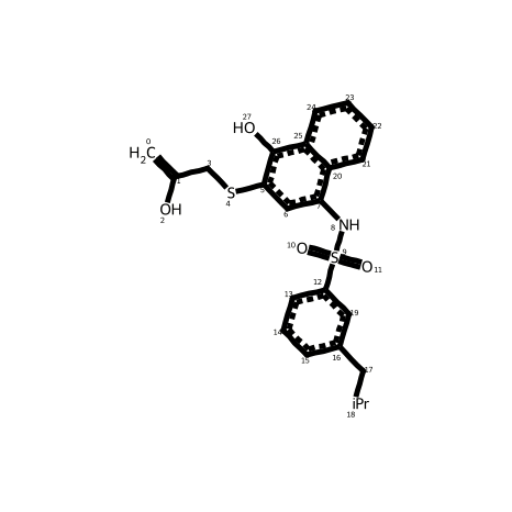 C=C(O)CSc1cc(NS(=O)(=O)c2cccc(CC(C)C)c2)c2ccccc2c1O